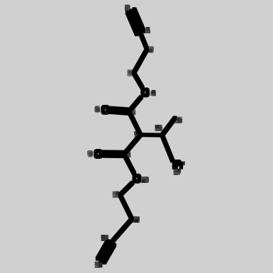 C#CCCOC(=O)C(C(=O)OCCC#C)C(C)C(C)C